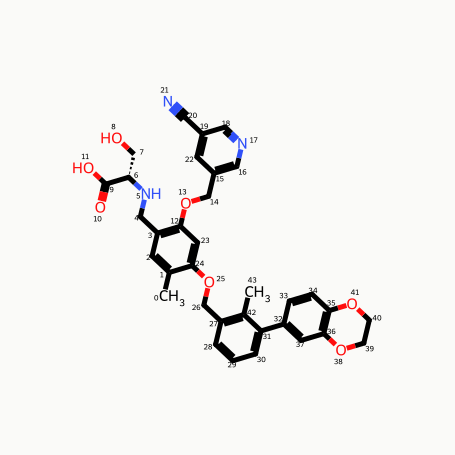 Cc1cc(CN[C@@H](CO)C(=O)O)c(OCc2cncc(C#N)c2)cc1OCc1cccc(-c2ccc3c(c2)OCCO3)c1C